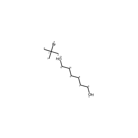 CC(C)(C)Br.OCCCCCCO